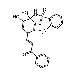 Nc1ccccc1S(=O)(=O)NC1(O)C=CC(/C=C/C(=O)c2ccccc2)C=C1O